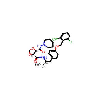 O=C(O)[C@H](Cc1ccc(OCc2c(Cl)cccc2Cl)cc1)NC(=O)[C@@H]1OCO[C@H]1C(=O)NN1CCCCC1